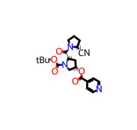 CC(C)(C)OC(=O)N1C[C@@H](OC(=O)c2ccncc2)C[C@H]1C(=O)N1CCC[C@H]1C#N